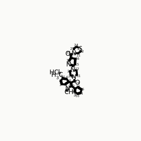 Cc1ccc2c(c1)c(C(=O)N1CCN(c3ccc(C(=O)N4CCSCC4)cn3)CC1)c(-c1ccccc1)n2C.Cl